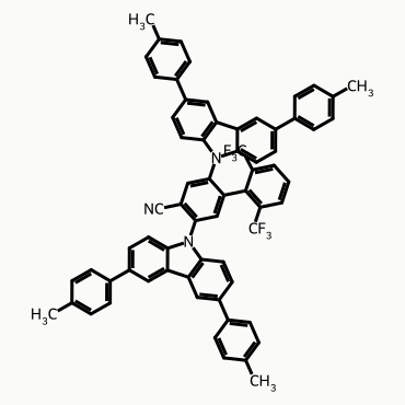 Cc1ccc(-c2ccc3c(c2)c2cc(-c4ccc(C)cc4)ccc2n3-c2cc(-c3c(C(F)(F)F)cccc3C(F)(F)F)c(-n3c4ccc(-c5ccc(C)cc5)cc4c4cc(-c5ccc(C)cc5)ccc43)cc2C#N)cc1